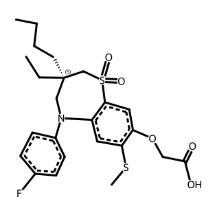 CCCC[C@@]1(CC)CN(c2ccc(F)cc2)c2cc(SC)c(OCC(=O)O)cc2S(=O)(=O)C1